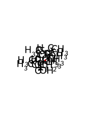 C=C(C)c1cc(SC(C)(C)Sc2cc(C(C)(C)C)c(O)c(C(C)(C)C)c2)cc(C(C)(C)C)c1OCC(=O)O